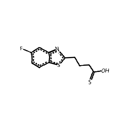 OC(=S)CCCc1nc2cc(F)ccc2s1